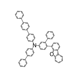 c1ccc(-c2ccc(-c3ccc(N(c4ccc(-c5ccccc5)cc4)c4ccc(-c5cccc6c5oc5ccccc56)c(-c5ccccc5)c4)cc3)cc2)cc1